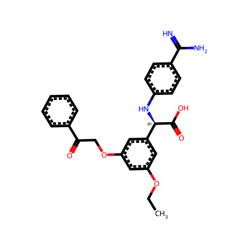 CCOc1cc(OCC(=O)c2ccccc2)cc([C@@H](Nc2ccc(C(=N)N)cc2)C(=O)O)c1